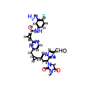 CN1C(=O)CN(c2cc(C3CC3Cc3ccnc([C@H]4C[C@@H]4C(=O)Nc4ccc(F)c(N)c4)n3)cn3cc(C=O)nc23)C1=O